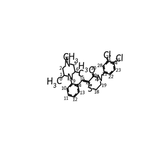 CC1CN(C)CC(C)N1c1ccccc1/C=C1\SCCN(c2ccc(Cl)c(Cl)c2)C1=O